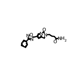 NC(=O)CCCN1Cc2cc(-c3nc(-c4ccccc4)no3)cn2C1=O